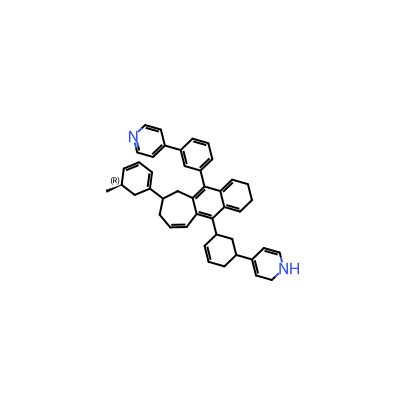 C[C@H]1C=CC=C(C2CC=Cc3c(c(-c4cccc(-c5ccncc5)c4)c4c(c3C3C=CCC(C5=CCNC=C5)C3)=CCCC=4)C2)C1